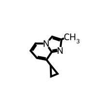 Cc1cn2cccc(C3CC3)c2n1